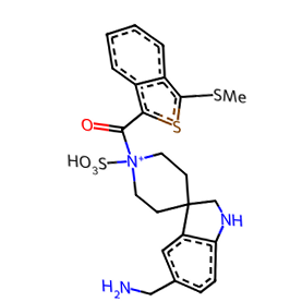 CSc1sc(C(=O)[N+]2(S(=O)(=O)O)CCC3(CC2)CNc2ccc(CN)cc23)c2ccccc12